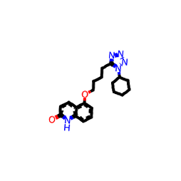 O=c1ccc2c(OCCCCc3nnnn3C3CCCCC3)cccc2[nH]1